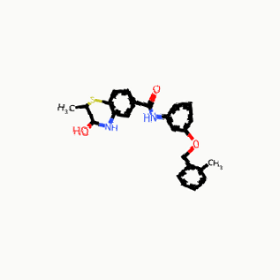 Cc1ccccc1COc1cccc(NC(=O)c2ccc3c(c2)NC(O)C(C)S3)c1